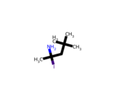 CC(C)(C)CC(C)(N)I